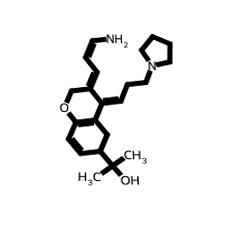 CC(C)(O)C1C=CC2=C(C1)C(=C/CCN1CCCC1)/C(=C/C=C\N)CO2